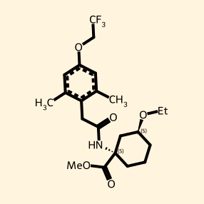 CCO[C@H]1CCC[C@@](NC(=O)Cc2c(C)cc(OCC(F)(F)F)cc2C)(C(=O)OC)C1